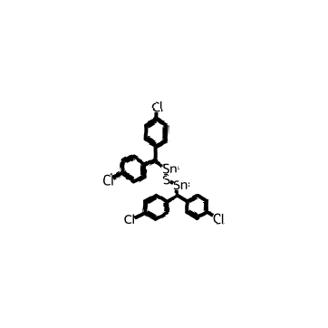 Clc1ccc([CH]([Sn][S][Sn][CH](c2ccc(Cl)cc2)c2ccc(Cl)cc2)c2ccc(Cl)cc2)cc1